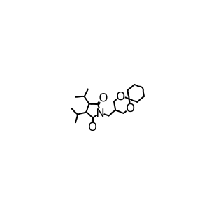 CC(C)C1C(=O)N(CC2COC3(CCCCC3)OC2)C(=O)C1C(C)C